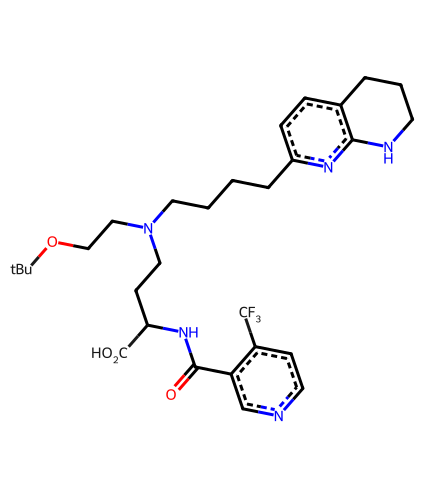 CC(C)(C)OCCN(CCCCc1ccc2c(n1)NCCC2)CCC(NC(=O)c1cnccc1C(F)(F)F)C(=O)O